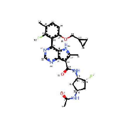 CC(=O)N[C@@H]1C[C@@H](F)[C@H](NC(=O)c2c(C)[nH]c3c(-c4c(OCC5CC5)ccc(C)c4F)ncnc23)C1